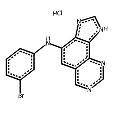 Brc1cccc(Nc2cc3cncnc3c3[nH]cnc23)c1.Cl